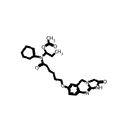 CCC(OC(C)=O)N(C(=O)CCCCCOc1ccc2c(c1)CN1CC(=O)NC1=N2)C1CCCCC1